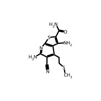 CSCCc1c(C#N)c(N)nc2sc(C(N)=O)c(N)c12